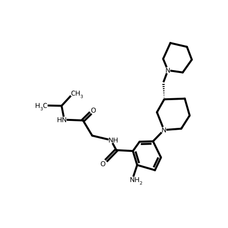 CC(C)NC(=O)CNC(=O)c1cc(N2CCC[C@@H](CN3CCCCC3)C2)ccc1N